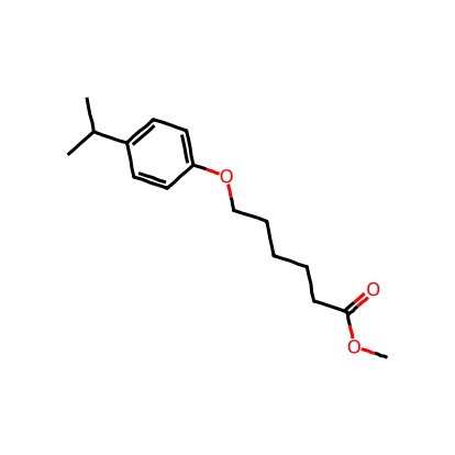 COC(=O)CCCCCOc1ccc(C(C)C)cc1